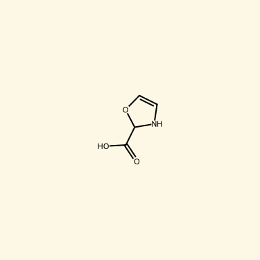 O=C(O)C1NC=CO1